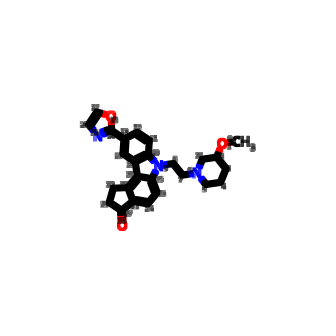 COC1CCCN(CCn2c3ccc(-c4ncco4)cc3c3c4c(ccc32)C(=O)CC4)C1